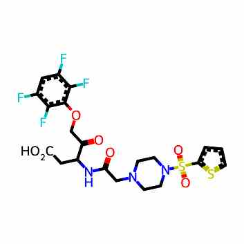 O=C(O)CC(NC(=O)CN1CCN(S(=O)(=O)c2cccs2)CC1)C(=O)COc1c(F)c(F)cc(F)c1F